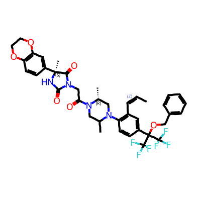 C/C=C\c1cc(C(OCc2ccccc2)(C(F)(F)F)C(F)(F)F)ccc1N1C[C@@H](C)N(C(=O)CN2C(=O)N[C@@](C)(c3ccc4c(c3)OCCO4)C2=O)CC1C